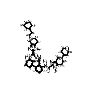 Cn1c(C(=O)Nc2cccc(-c3cccc(NC(=O)c4nc5c(n4C)CCN(C4CCOCC4)C5)c3C#N)c2Cl)nc2c1CCN(CCC1CCCCC1)C2